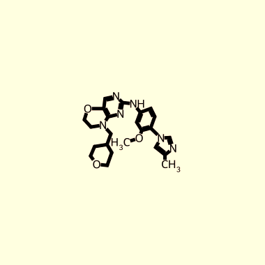 COc1cc(Nc2ncc3c(n2)N(CC2CCOCC2)CCO3)ccc1-n1cnc(C)c1